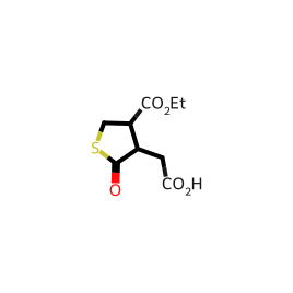 CCOC(=O)C1CSC(=O)C1CC(=O)O